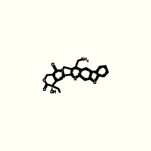 CC[C@@]1(O)C(=O)OCc2c1cc1n(c2=O)Cc2c-1nc1cc3oc4ccccc4c3cc1c2CN